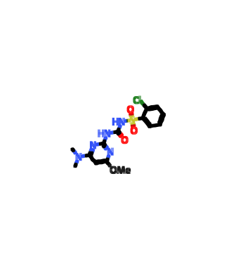 COc1cc(N(C)C)nc(NC(=O)NS(=O)(=O)c2ccccc2Cl)n1